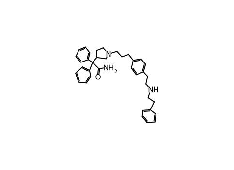 NC(=O)C(c1ccccc1)(c1ccccc1)C1CCN(CCCc2ccc(CCNCCc3ccccc3)cc2)C1